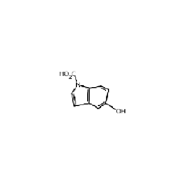 O=C(O)n1ccc2cc(O)ccc21